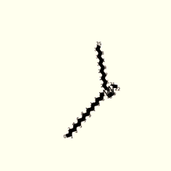 CCCCCCCCCCCCCCCCCN1C=CN(CC)C1CCCCCCCCCCCC